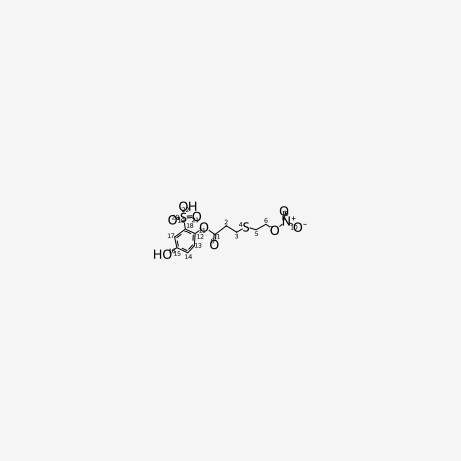 O=C(CCSCCO[N+](=O)[O-])Oc1ccc(O)cc1S(=O)(=O)O